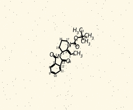 CC=C1C(N2C(=O)c3ccccc3C2=O)CCCN1C(=O)OC(C)(C)C